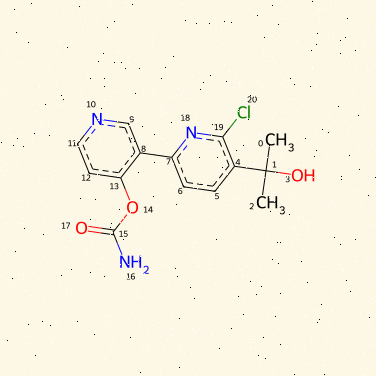 CC(C)(O)c1ccc(-c2cnccc2OC(N)=O)nc1Cl